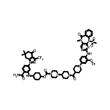 CCOc1cc(N2CCC(C(=O)N3CCC(N4CCN(C(=O)OC5CCC(Nc6cc(-n7nc(C(F)(F)F)c8c7CC(C)(C)CC8=O)ccc6C(N)=O)CC5)CC4)CC3)CC2)ccc1Nc1ncc2c(n1)N(S(C)(=O)=O)c1ccccc1C(=O)N2C